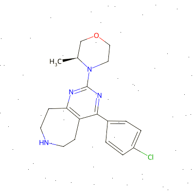 C[C@H]1COCCN1c1nc2c(c(-c3ccc(Cl)cc3)n1)CCNCC2